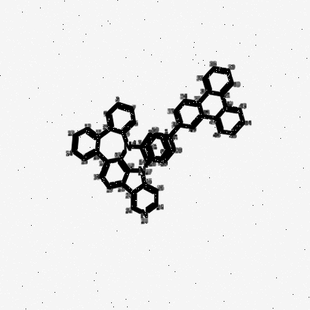 c1ccc(N2c3ccccc3-c3ccccc3-c3ccc4c5cnccc5n(-c5ccc(-c6ccc7c8ccccc8c8ccccc8c7c6)cc5)c4c32)cc1